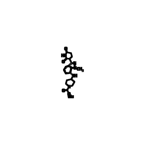 Cn1nc(C2CCC(=O)NC2=O)c2cccc(NC3CCN(C(=O)OC(C)(C)C)CC3)c21